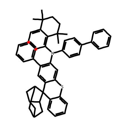 CC1(C)CCC(C)(C)c2c(N(c3ccc(-c4ccccc4)cc3)c3cc4c(cc3-c3ccccc3)C3(c5ccccc5S4)C4CC5CC(C4)C3C5)cccc21